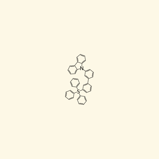 c1ccc(S(c2ccccc2)(c2ccccc2)c2cccc(-c3cccc(-n4c5ccccc5c5ccccc54)c3)c2)cc1